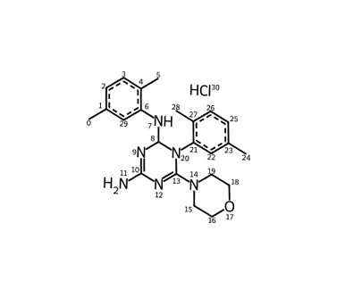 Cc1ccc(C)c(NC2N=C(N)N=C(N3CCOCC3)N2c2cc(C)ccc2C)c1.Cl